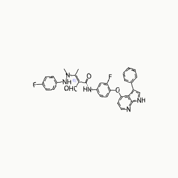 C/C(=C(/C=O)C(=O)Nc1ccc(Oc2ccnc3[nH]cc(-c4ccccc4)c23)c(F)c1)N(C)Nc1ccc(F)cc1